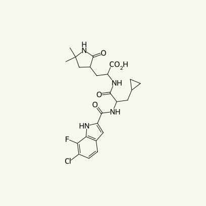 CC1(C)CC(CC(NC(=O)C(CC2CC2)NC(=O)c2cc3ccc(Cl)c(F)c3[nH]2)C(=O)O)C(=O)N1